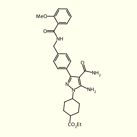 CCOC(=O)C1CCC(n2nc(-c3ccc(CNC(=O)c4ccccc4OC)cc3)c(C(N)=O)c2N)CC1